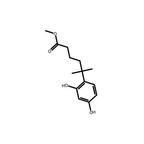 COC(=O)CCCC(C)(C)c1ccc(O)cc1O